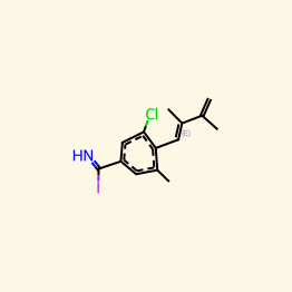 C=C(C)/C(C)=C/c1c(C)cc(C(=N)I)cc1Cl